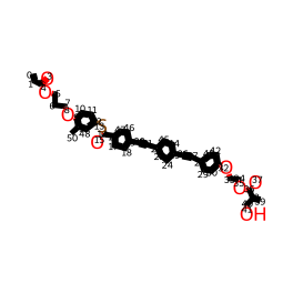 C=CC(=O)OCCCOc1ccc(SC(=O)c2ccc(C#Cc3ccc(C#Cc4ccc(OCCOC(=O)C(=C)CO)cc4)cc3)cc2)cc1C